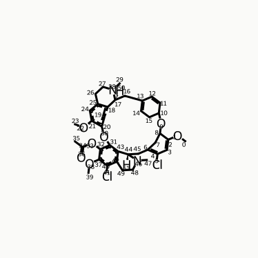 COC1=CC(Cl)=C2CC1OC1C=CC(=CC1)C[C@H]1c3cc(c(OC)cc3CCN1C)Oc1c(OC(C)=O)c(OC)c(Cl)c3c1[C@H](C2)N(C)CC3